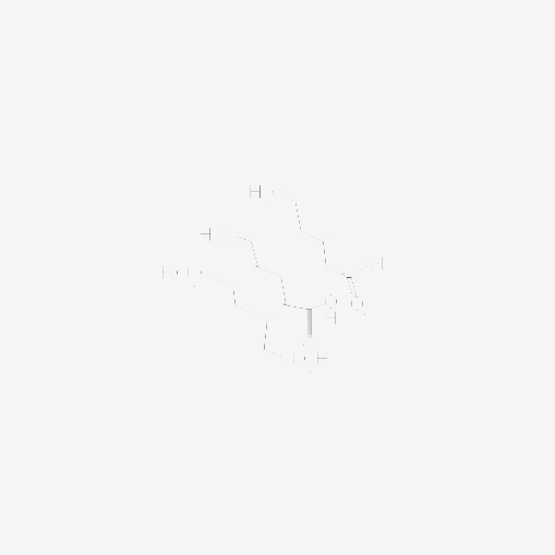 CCCCCC(=O)O.CCCCCC(=O)O.O=C(O)CCCCC(=O)O